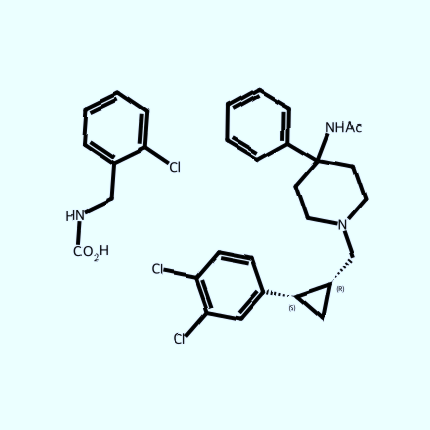 CC(=O)NC1(c2ccccc2)CCN(C[C@@H]2C[C@@H]2c2ccc(Cl)c(Cl)c2)CC1.O=C(O)NCc1ccccc1Cl